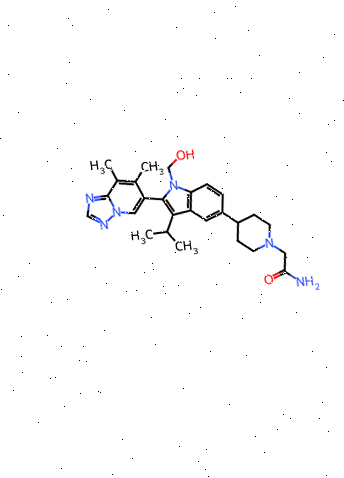 Cc1c(-c2c(C(C)C)c3cc(C4CCN(CC(N)=O)CC4)ccc3n2CO)cn2ncnc2c1C